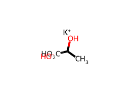 CC(O)C(=O)O.[K+].[OH-]